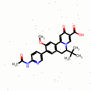 COc1cc2c(cc1-c1ccc(NC(C)=O)nc1)CC(C(C)(C)C)n1cc(C(=O)O)c(=O)cc1-2